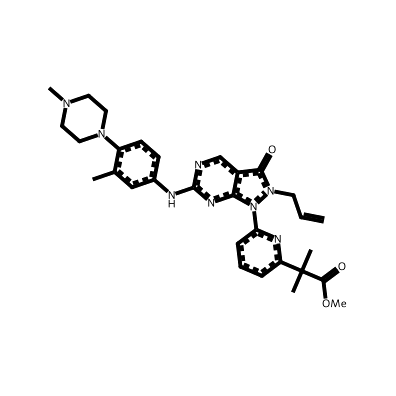 C=CCn1c(=O)c2cnc(Nc3ccc(N4CCN(C)CC4)c(C)c3)nc2n1-c1cccc(C(C)(C)C(=O)OC)n1